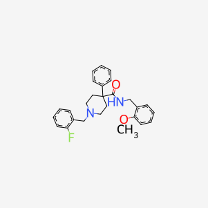 COc1ccccc1CNC(=O)C1(c2ccccc2)CCN(Cc2ccccc2F)CC1